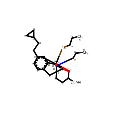 COC1CCC2(CC1)Cc1ccc(CCC3CC3)cc1C21N=C(SCCC(F)(F)F)N(CCC(F)(F)F)C1=O